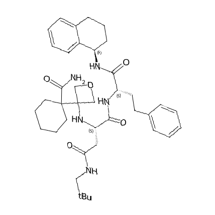 CC(C)(C)CNC(=O)C[C@H](NC1(C2(C(N)=O)CCCCC2)COC1)C(=O)N[C@@H](CCc1ccccc1)C(=O)N[C@@H]1CCCc2ccccc21